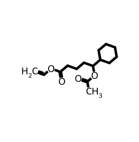 C=COC(=O)CCCC(OC(C)=O)C1CCCCC1